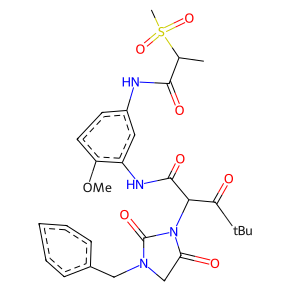 COc1ccc(NC(=O)C(C)S(C)(=O)=O)cc1NC(=O)C(C(=O)C(C)(C)C)N1C(=O)CN(Cc2ccccc2)C1=O